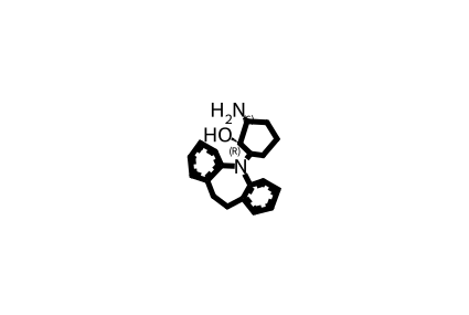 N[C@H]1CCCC(N2c3ccccc3CCc3ccccc32)[C@@H]1O